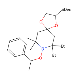 CCCCCCCCCCC1COC2(CC(C)(C)N(OC(C)c3ccccc3)C(CC)(CC)C2)O1